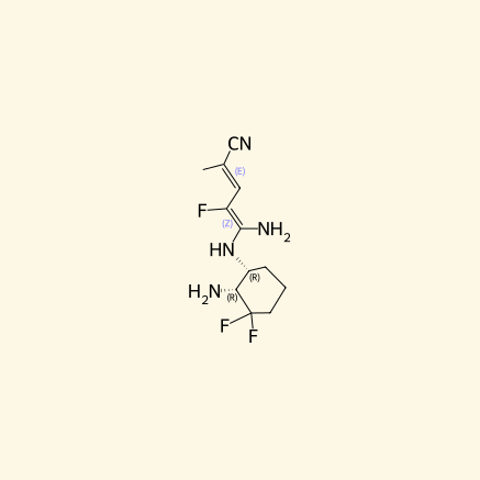 C/C(C#N)=C\C(F)=C(/N)N[C@@H]1CCCC(F)(F)[C@@H]1N